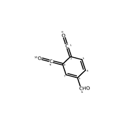 O=C=c1ccc(C=O)cc1=C=O